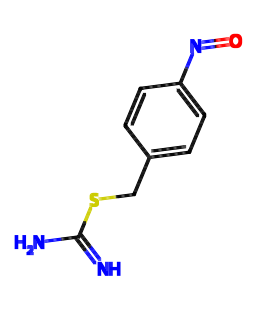 N=C(N)SCc1ccc(N=O)cc1